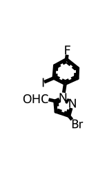 O=Cc1cc(Br)nn1-c1ccc(F)cc1I